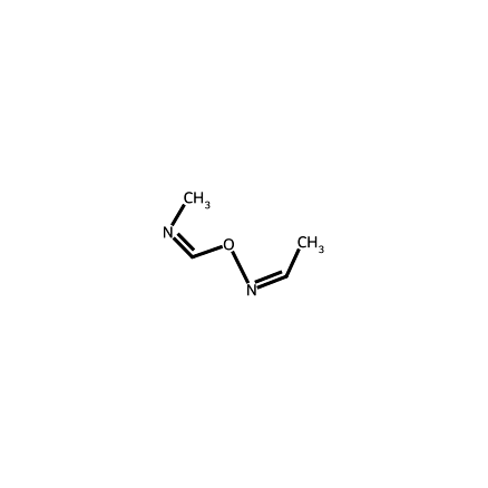 C/C=N\O/C=N\C